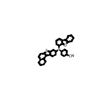 N#Cc1ccc(N(c2ccc3c(c2)sc2ccc4ccccc4c23)c2cccc3c2oc2ccccc23)cc1